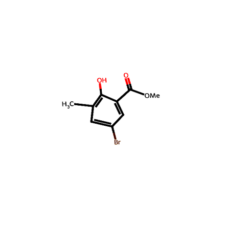 COC(=O)c1cc(Br)cc(C)c1O